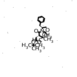 CC(C)(C)OC(=O)C[C@H](C(=O)N1C(=O)OC[C@@H]1Cc1ccccc1)C(C)(C)C